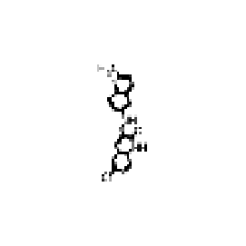 Cc1ccc2cc(NCc3cc4cc(Cl)ccc4[nH]c3=O)ccc2n1